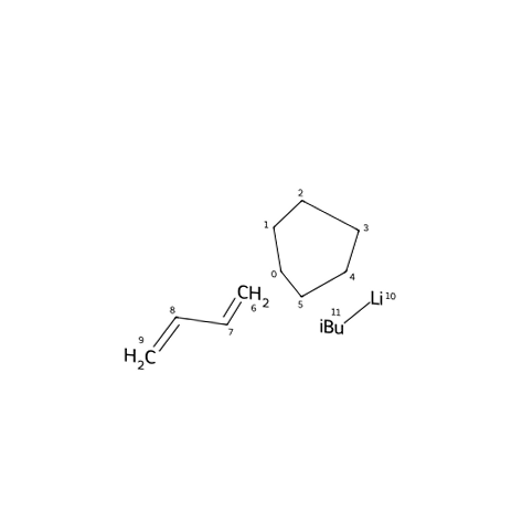 C1CCCCC1.C=CC=C.[Li][CH](C)CC